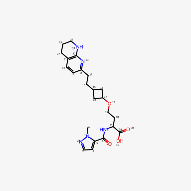 Cn1nccc1C(=O)NC(CCOC1CC(CCc2ccc3c(n2)NCCC3)C1)C(=O)O